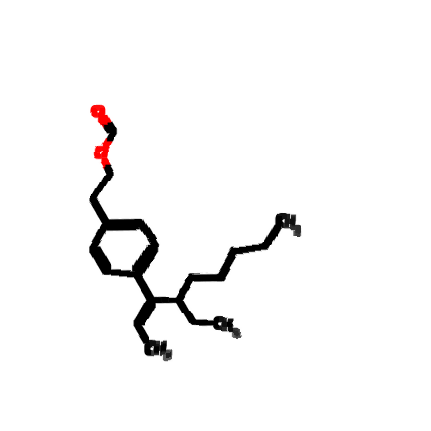 C/C=C(/c1ccc(CCOC=O)cc1)C(CC)CCCCC